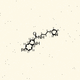 O=C(NCCCn1ccnc1)c1cc2cc(F)ccc2[nH]1